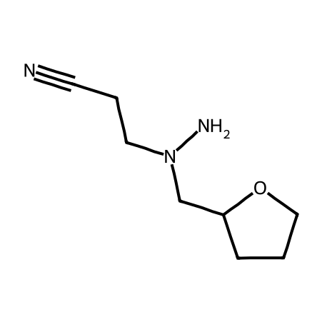 N#CCCN(N)CC1CCCO1